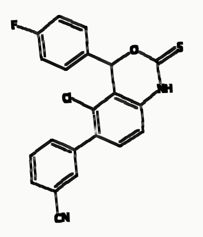 N#Cc1cccc(-c2ccc3c(c2Cl)C(c2ccc(F)cc2)OC(=S)N3)c1